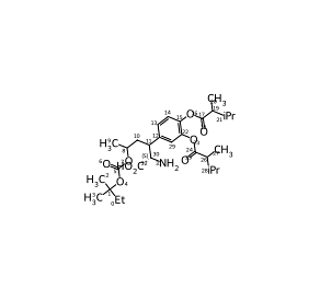 CCC(C)(C)OC(=O)OC(C)CC(c1ccc(OC(=O)C(C)C(C)C)c(OC(=O)C(C)C(C)C)c1)[C@H](N)C(=O)O